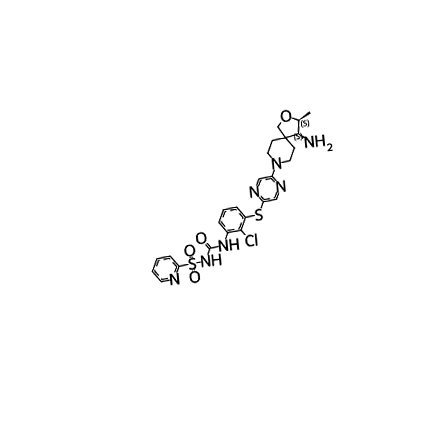 C[C@@H]1OCC2(CCN(c3cnc(Sc4cccc(NC(=O)NS(=O)(=O)c5ccccn5)c4Cl)cn3)CC2)[C@@H]1N